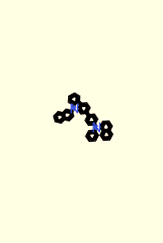 c1ccc(N(c2ccc(-c3ccc4c5ccccc5n(-c5ccc6ccccc6c5)c4c3)cc2)c2cccc3ccccc23)cc1